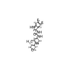 Cc1cc(NC(=O)Nc2c[nH]c3cc(F)c(F)cc23)cnc1C1CCOCC1